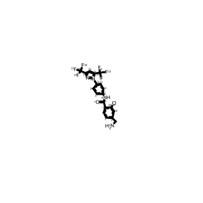 NCc1ccc(C(=O)Nc2ccc(-n3nc(C(F)(F)F)cc3C(F)(F)F)cc2)c(Cl)c1